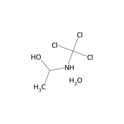 CC(O)NC(Cl)(Cl)Cl.O